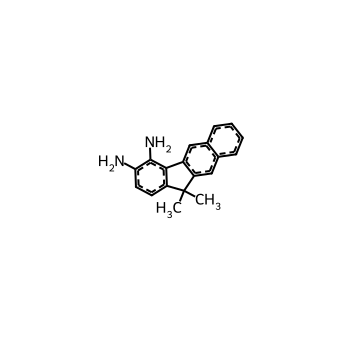 CC1(C)c2cc3ccccc3cc2-c2c1ccc(N)c2N